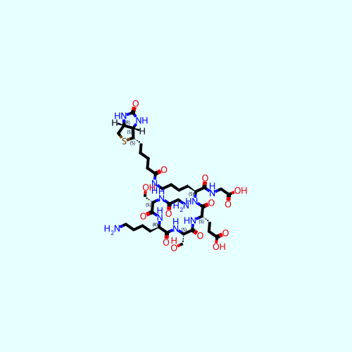 NCCCC[C@@H](NC(=O)[C@H](CO)NC(=O)CN)C(=O)N[C@@H](CO)C(=O)N[C@@H](CCC(=O)O)C(=O)N[C@@H](CCCCNC(=O)CCCC[C@@H]1SC[C@@H]2NC(=O)N[C@@H]21)C(=O)NCC(=O)O